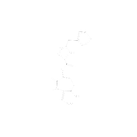 CN/C=C1\C(=N)CCC(NC(=O)c2nnc(Cc3ccccc3)[nH]2)C(=O)N1C